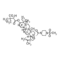 C=C(C)[C@@H]1CC[C@]2(CC(=O)N3CCN(S(C)(=O)=O)CC3)CC[C@]3(C)[C@H](CC[C@@H]4[C@@]5(C)CC[C@H](OC(=O)CC(C)(C)C(=O)O)C(C)(C)[C@@H]5CC[C@]43C)[C@@H]12